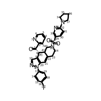 O=C(c1ccccn1)[C@H]1c2cnn(-c3ccc(F)cc3)c2C=C2CCN(S(=O)(=O)c3ccc(N4CCCC4)nc3)CC21